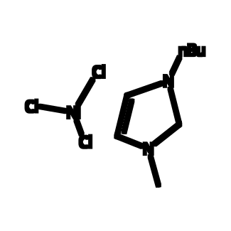 CCCCN1C=CN(C)C1.[Cl][Ni]([Cl])[Cl]